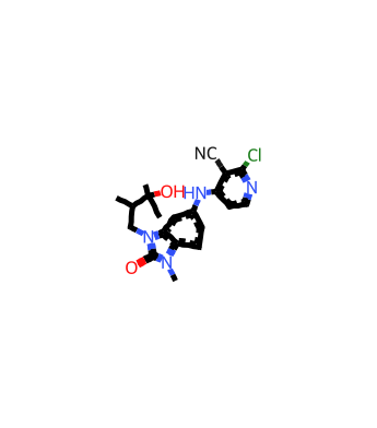 CC(Cn1c(=O)n(C)c2ccc(Nc3ccnc(Cl)c3C#N)cc21)C(C)(C)O